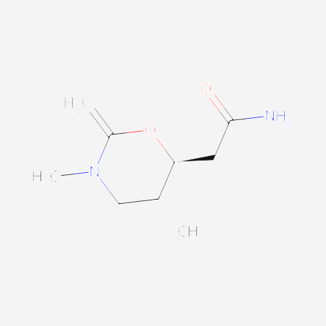 C=C1O[C@@H](CC(N)=O)[C@H](C)CN1C